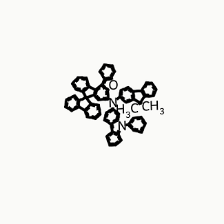 CC1(C)c2ccccc2-c2ccc(N(c3ccc4c5ccccc5n(-c5ccccc5)c4c3)c3cc4c(c5c3oc3ccccc35)-c3ccccc3C43c4ccccc4-c4ccccc43)cc21